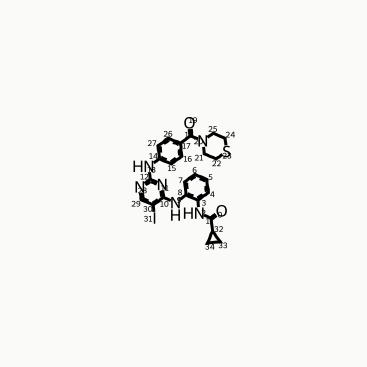 O=C(Nc1ccccc1Nc1nc(Nc2ccc(C(=O)N3CCSCC3)cc2)ncc1I)C1CC1